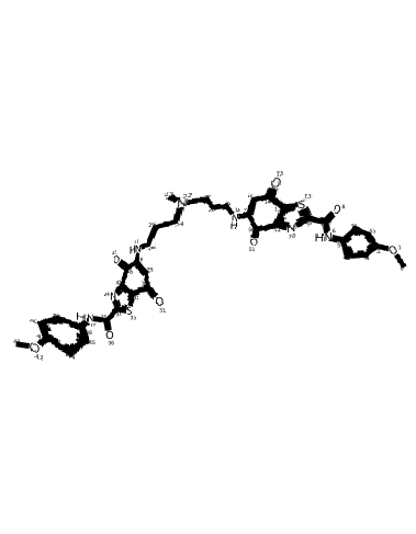 COc1ccc(NC(=O)c2nc3c(s2)C(=O)C=C(NCCCN(C)CCCNC2=CC(=O)c4sc(C(=O)Nc5ccc(OC)cc5)nc4C2=O)C3=O)cc1